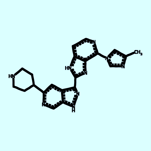 Cc1cn(-c2nccc3[nH]c(-c4n[nH]c5cnc(C6CCNCC6)cc45)nc23)cn1